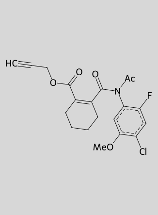 C#CCOC(=O)C1=C(C(=O)N(C(C)=O)c2cc(OC)c(Cl)cc2F)CCCC1